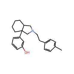 Cc1ccc(CCN2CC3CCCCC3(c3cccc(O)c3)C2)cc1